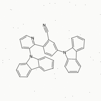 N#Cc1cc(-n2c3ccccc3c3ccccc32)ccc1-c1ncccc1-n1c2ccccc2c2ccccc21